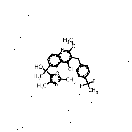 COc1nc2ccc(C(C)(O)c3oc(C)nc3C)cc2c(Cl)c1Cc1ccc(C(C)(F)F)cc1